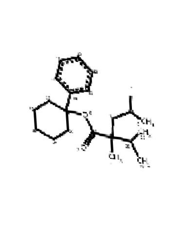 CC(I)CC(C)(C(=O)OC1(c2ccccc2)CCCCC1)C(C)C